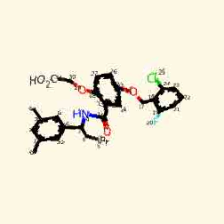 Cc1cc(C)cc(C(CC(C)C)NC(=O)c2cc(OCc3c(F)cccc3Cl)ccc2OCC(=O)O)c1